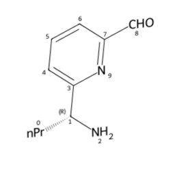 CCC[C@@H](N)c1cccc(C=O)n1